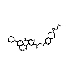 COc1cc(N2CCOCC2)ccc1Nc1nc(NCOc2ccc3c(c2)CCC(NCCO)CC3)ncc1Cl